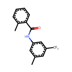 Cc1cc(NC(=O)c2ccccc2C)cc(C(F)(F)F)c1